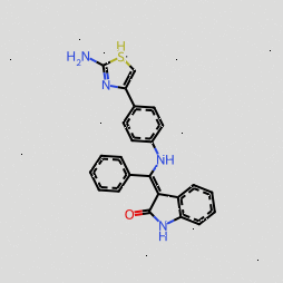 NC1=NC(c2ccc(NC(=C3C(=O)Nc4ccccc43)c3ccccc3)cc2)=C[SH]1